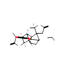 CCOC(=O)CO[C@H]1C(=O)O[C@H]2O[C@]34C(=O)OC5C[C@@H](C)C21[C@@]53[C@@H](O)[C@@H]1OC(=O)C(C)[C@@]14O